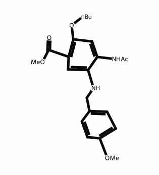 CCCCOc1cc(NC(C)=O)c(NCc2ccc(OC)cc2)cc1C(=O)OC